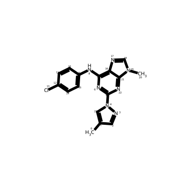 Cc1cnn(-c2nc(Nc3ccc(Cl)cc3)c3ncn(C)c3n2)c1